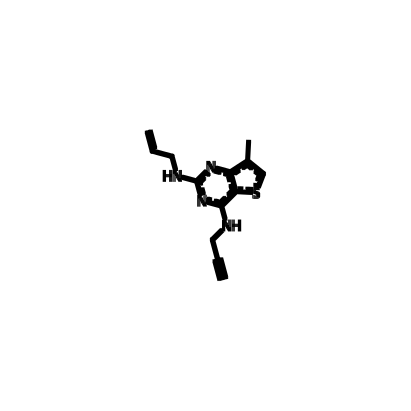 C#CCNc1nc(NCC=C)nc2c(C)csc12